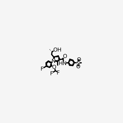 Cc1c(C(=O)Nc2ccc(S(C)(=O)=O)cc2)cc(C[C@H](C)O)n1-c1ccc(F)cc1OC(F)F